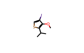 COc1c(I)csc1C(C)C